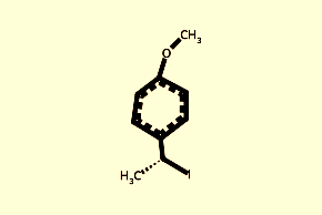 COc1ccc([C@@H](C)I)cc1